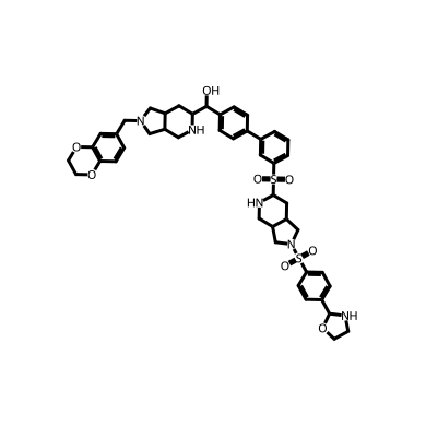 O=S(=O)(c1cccc(-c2ccc(C(O)C3CC4CN(Cc5ccc6c(c5)OCCO6)CC4CN3)cc2)c1)C1CC2CN(S(=O)(=O)c3ccc(C4NCCO4)cc3)CC2CN1